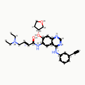 C#Cc1cccc(Nc2ncnc3cc(O[C@@H]4CCOC4)c(NC(=O)/C=C/CN(CC)CC)cc23)c1